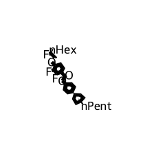 CCCCCC[C@H](F)COc1ccc(C(=O)Oc2ccc([C@H]3CC[C@H](CCCCC)CC3)cc2)c(F)c1F